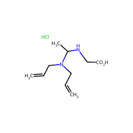 C=CCN(CC=C)C(C)NCC(=O)O.Cl